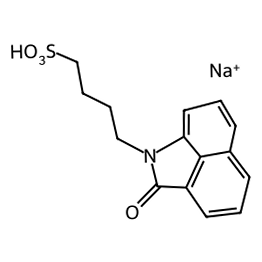 O=C1c2cccc3cccc(c23)N1CCCCS(=O)(=O)O.[Na+]